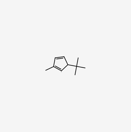 CC1=[C]C(C(C)(C)C)C=C1